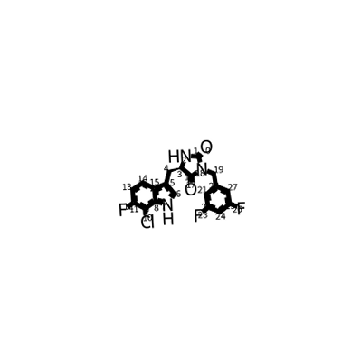 O=C1N[C@H](Cc2c[nH]c3c(Cl)c(F)ccc23)C(=O)N1Cc1cc(F)cc(F)c1